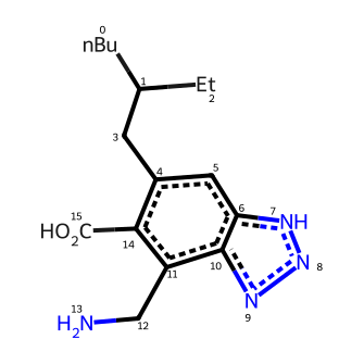 CCCCC(CC)Cc1cc2[nH]nnc2c(CN)c1C(=O)O